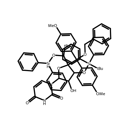 COc1ccc(C(OCc2ccccc2)(c2ccc(OC)cc2)C2(C(O[SiH](c3ccccc3)c3ccccc3)C(C)(C)C)OC(n3ccc(=O)[nH]c3=O)C(O)C2O[Si](c2ccccc2)(c2ccccc2)C(C)(C)C)cc1